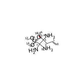 C=CCC(N)(C=C)C(N)(N)[Si](OC)(OC)OC